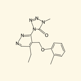 CCc1cnnc(-n2nnn(C)c2=O)c1COc1ccccc1C